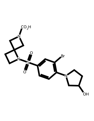 O=C(O)N1CC2(CCN2S(=O)(=O)c2ccc(N3CCC(O)C3)c(Br)c2)C1